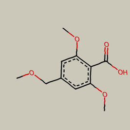 COCc1cc(OC)c(C(=O)O)c(OC)c1